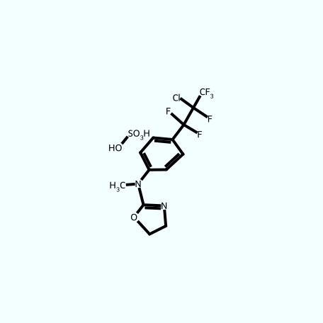 CN(C1=NCCO1)c1ccc(C(F)(F)C(F)(Cl)C(F)(F)F)cc1.O=S(=O)(O)O